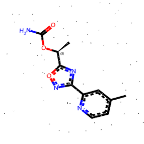 Cc1ccnc(-c2noc([C@H](C)OC(N)=O)n2)c1